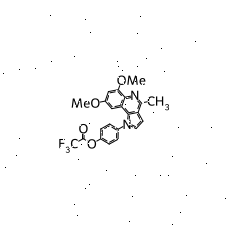 COc1cc(OC)c2nc(C)c3ccn(-c4ccc(OC(=O)C(F)(F)F)cc4)c3c2c1